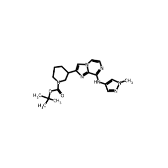 Cn1cc(Nc2nccn3cc(C4CCCN(C(=O)OC(C)(C)C)C4)nc23)cn1